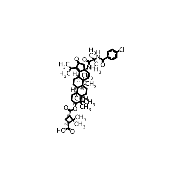 CC(C)C1=C2[C@H]3CC[C@@H]4[C@@]5(C)CC[C@H](OC(=O)[C@@H]6C[C@H](C(=O)O)C6(C)C)C(C)(C)[C@@H]5CC[C@@]4(C)[C@]3(C)CC[C@@]2(NC(=O)C(C)(C)NC(=O)c2ccc(Cl)cc2)CC1=O